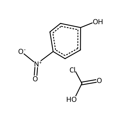 O=C(O)Cl.O=[N+]([O-])c1ccc(O)cc1